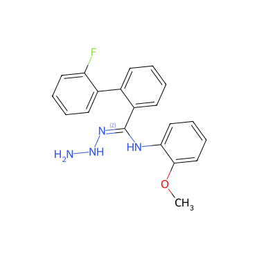 COc1ccccc1N/C(=N\NN)c1ccccc1-c1ccccc1F